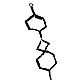 CCC1=CCC(N2CC3(CCC(C)CC3)C2)CC1